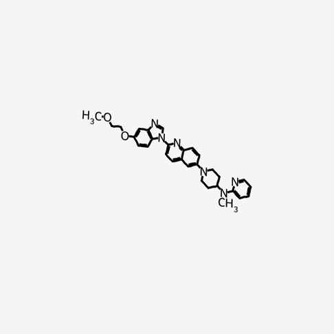 COCCOc1ccc2c(c1)ncn2-c1ccc2cc(N3CCC(N(C)c4ccccn4)CC3)ccc2n1